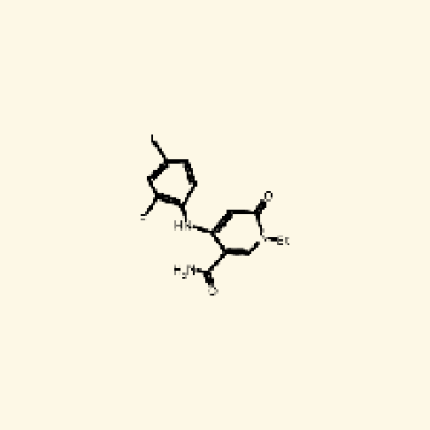 CCn1cc(C(N)=O)c(Nc2ccc(I)cc2F)cc1=O